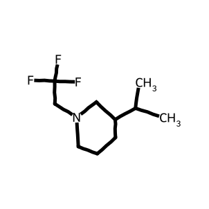 CC(C)C1CCCN(CC(F)(F)F)C1